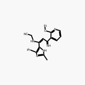 CCOc1ncccc1C(=N)/C=C(/NCC#N)c1[nH]c(C)nc1C(C)C